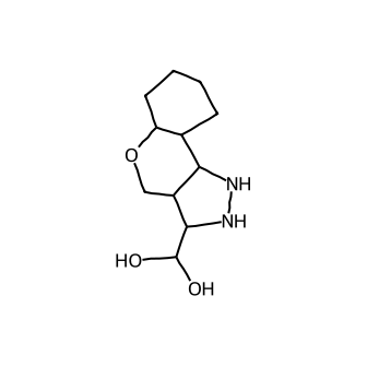 OC(O)C1NNC2C3CCCCC3OCC12